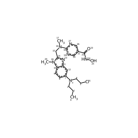 CCCN(CCCl)c1ccc2c(c1)nc(CN(C)c1ncc(C(=O)NO)cn1)n2C